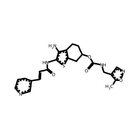 Cc1oncc1CNC(=O)OC1CCc2c(sc(NC(=O)/C=C/c3cccnc3)c2N)C1